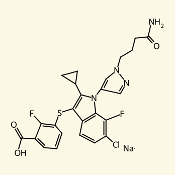 NC(=O)CCCn1cc(-n2c(C3CC3)c(Sc3cccc(C(=O)O)c3F)c3ccc(Cl)c(F)c32)cn1.[Na]